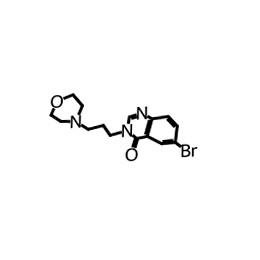 O=c1c2cc(Br)ccc2ncn1CCCN1CCOCC1